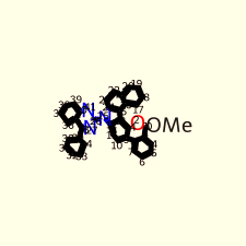 COC(=O)c1ccccc1-c1ccc2c(c1)c1c3ccccc3ccc1n2-c1nc(-c2ccccc2)c2ccccc2n1